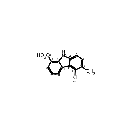 Cc1ccc2[nH]c3c(C(=O)O)cccc3c2c1Cl